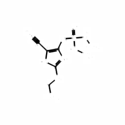 CCOc1nc(OP(=O)(OC)OC)c(C#N)s1